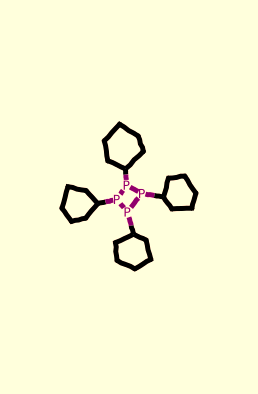 C1CCC(P2P(C3CCCCC3)P(C3CCCCC3)P2C2CCCCC2)CC1